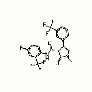 CN1C[C@H](c2cccc(C(F)(F)F)c2)[C@@H](C(=O)Nc2ccc(F)cc2C(F)(F)F)C1=O